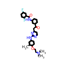 Cc1cc(Nc2nccc(CC(=O)c3cccc(NC(=O)c4cc(F)ccc4F)c3)n2)ccc1OCCN(C)C